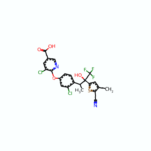 Cc1cc(C(O)(C(C)c2ccc(Oc3ncc(C(=O)O)cc3Cl)cc2Cl)C(F)(F)F)sc1C#N